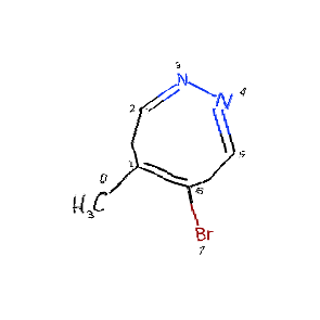 Cc1[c]nncc1Br